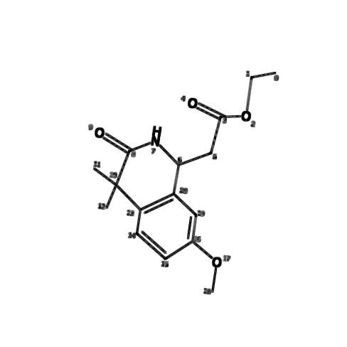 CCOC(=O)CC1NC(=O)C(C)(C)c2ccc(OC)cc21